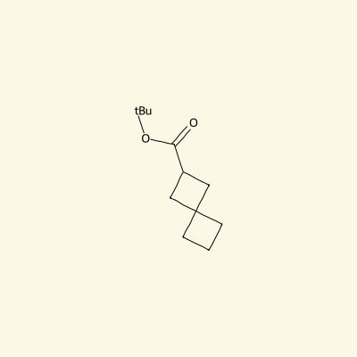 CC(C)(C)OC(=O)C1CC2(CCC2)C1